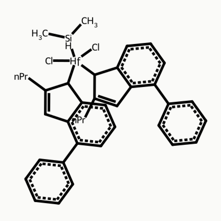 CCCC1=Cc2c(-c3ccccc3)cccc2[CH]1[Hf]([Cl])([Cl])([CH]1C(CCC)=Cc2c(-c3ccccc3)cccc21)[SiH](C)C